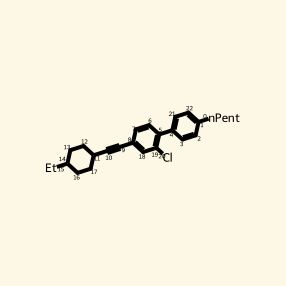 CCCCCc1ccc(-c2ccc(C#CC3CCC(CC)CC3)cc2Cl)cc1